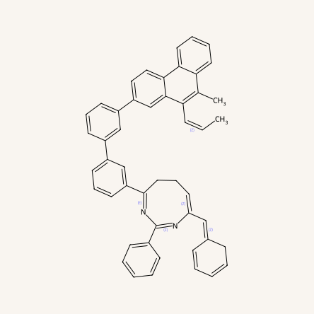 C/C=C\c1c(C)c2ccccc2c2ccc(-c3cccc(-c4cccc(/C5=N/C(c6ccccc6)=N\C(\C=C6/C=CC=CC6)=C/CC5)c4)c3)cc12